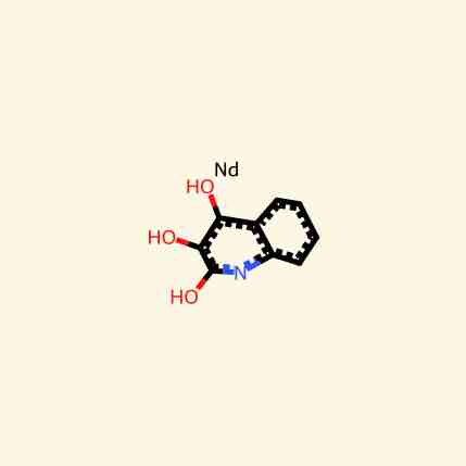 Oc1nc2ccccc2c(O)c1O.[Nd]